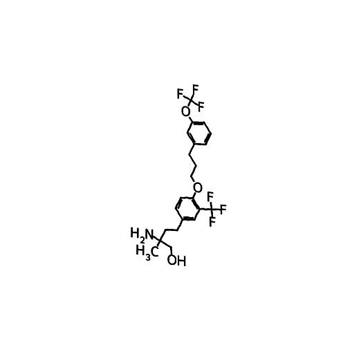 CC(N)(CO)CCc1ccc(OCCCc2cccc(OC(F)(F)F)c2)c(C(F)(F)F)c1